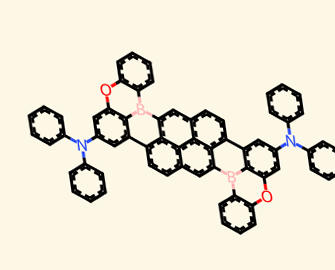 c1ccc(N(c2ccccc2)c2cc3c4c(c2)-c2ccc5cc6c7c(ccc8cc(c2c5c87)B4c2ccccc2O3)-c2cc(N(c3ccccc3)c3ccccc3)cc3c2B6c2ccccc2O3)cc1